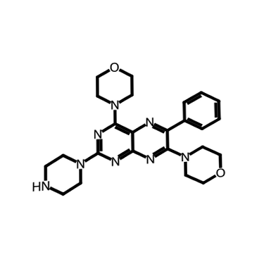 c1ccc(-c2nc3c(N4CCOCC4)nc(N4CCNCC4)nc3nc2N2CCOCC2)cc1